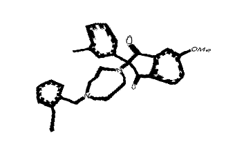 COc1ccc2c(c1)C(=O)C(c1cccc(C)c1)(N1CCN(Cc3ccccc3C)CC1)C2=O